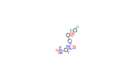 CC1(c2ccc(Cl)cc2F)Oc2cccc(C3=CCN(Cc4nc5cc(-c6noc(=O)[nH]6)cc(F)c5n4C[C@@H]4CCO4)CC3)c2O1